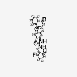 Cc1cc(NC(=O)NCc2c(F)cccc2Cl)ccc1Oc1ccc(Cl)c2ccccc12